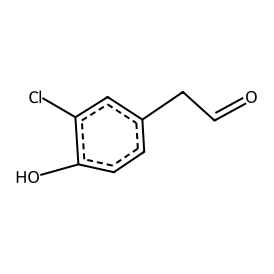 O=CCc1ccc(O)c(Cl)c1